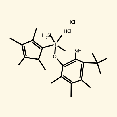 CC1=C(C)C(C)[C]([Ti]([CH3])([CH3])([SiH3])[O]c2c(C)c(C)c(C)c(C(C)(C)C)c2[SiH3])=C1C.Cl.Cl